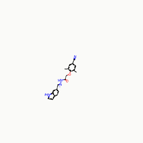 Cc1cc(C#N)cc(C)c1OCC(=O)N/N=C/c1ccc2cc[nH]c2c1